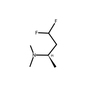 C[C@H](CC(F)F)N(C)C